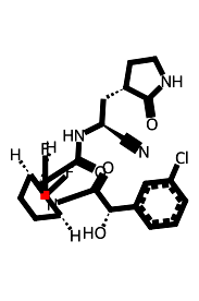 N#C[C@H](C[C@@H]1CCNC1=O)NC(=O)[C@@H]1[C@@H]2CC[C@@H](CC2(F)F)N1C(=O)[C@@H](O)c1cccc(Cl)c1